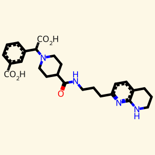 O=C(O)c1cccc(C(C(=O)O)N2CCC(C(=O)NCCCc3ccc4c(n3)NCCC4)CC2)c1